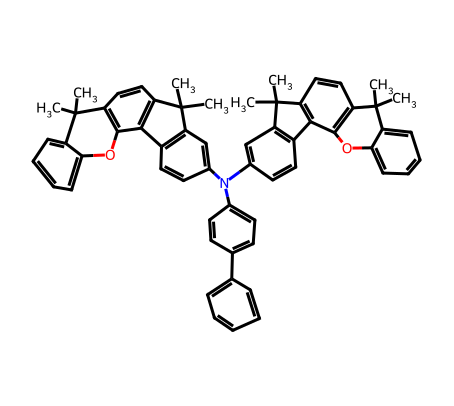 CC1(C)c2ccccc2Oc2c1ccc1c2-c2ccc(N(c3ccc(-c4ccccc4)cc3)c3ccc4c(c3)C(C)(C)c3ccc5c(c3-4)Oc3ccccc3C5(C)C)cc2C1(C)C